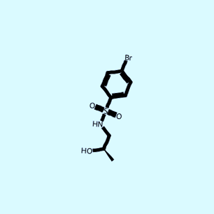 C[C@@H](O)CNS(=O)(=O)c1ccc(Br)cc1